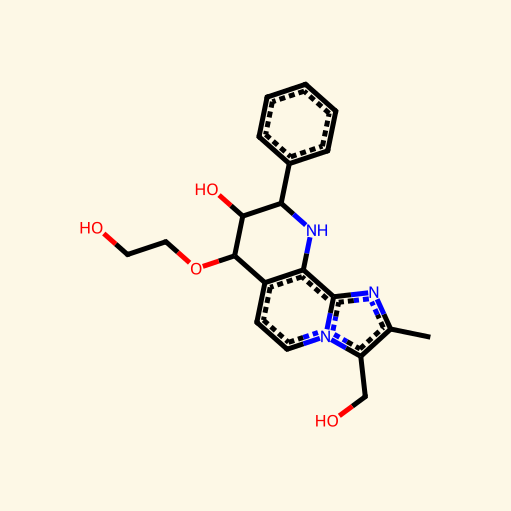 Cc1nc2c3c(ccn2c1CO)C(OCCO)C(O)C(c1ccccc1)N3